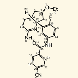 CCO[C@@H]1C[C@H]2CSC(N)=N[C@@]2(c2cc(NC(=O)c3ccc(C#N)cn3)ccc2F)C1